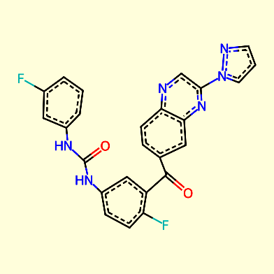 O=C(Nc1cccc(F)c1)Nc1ccc(F)c(C(=O)c2ccc3ncc(-n4cccn4)nc3c2)c1